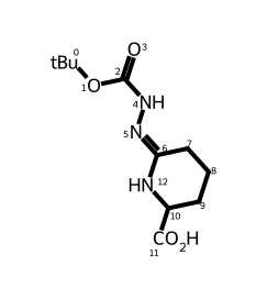 CC(C)(C)OC(=O)NN=C1CCCC(C(=O)O)N1